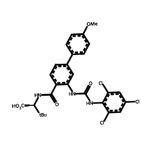 COc1ccc(-c2ccc(C(=O)N[C@H](C(=O)O)C(C)(C)C)c(NC(=O)Nc3c(Cl)cc(Cl)cc3Cl)c2)cc1